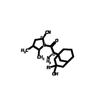 CCC1(O)CC2CCCC([C@H](N)C(=O)N3C(C)C(C)C[C@H]3C#N)(C2)C1